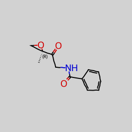 C[C@]1(C(=O)CNC(=O)c2ccccc2)CO1